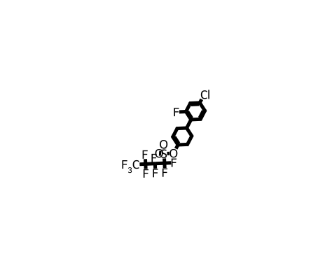 O=S(=O)(OC1=CCC(c2ccc(Cl)cc2F)CC1)C(F)(F)C(F)(F)C(F)(F)C(F)(F)F